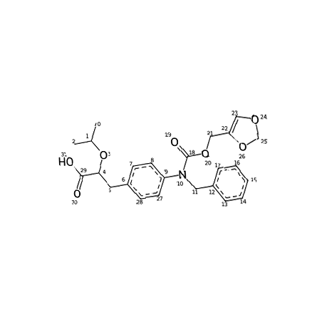 CC(C)OC(Cc1ccc(N(Cc2ccccc2)C(=O)OCC2=COCO2)cc1)C(=O)O